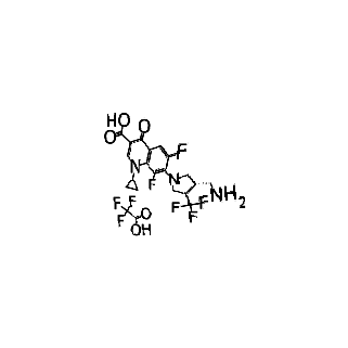 NC[C@H]1CN(c2c(F)cc3c(=O)c(C(=O)O)cn(C4CC4)c3c2F)C[C@@H]1C(F)(F)F.O=C(O)C(F)(F)F